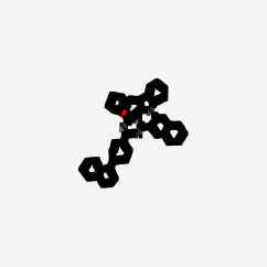 c1ccc(-c2nc(-c3ccc(-c4cccc5ccccc45)cc3)nc(-c3cc4ccccc4cc3-n3c4ccccc4c4ccccc43)n2)cc1